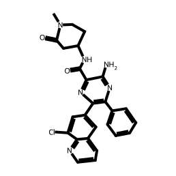 CN1CCC(NC(=O)c2nc(-c3cc(Cl)c4ncccc4c3)c(-c3ccccc3)nc2N)CC1=O